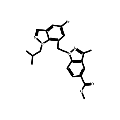 COC(=O)c1ccc2c(c1)c(C)nn2Cc1cc(Br)cc2cnn(CC(C)C)c12